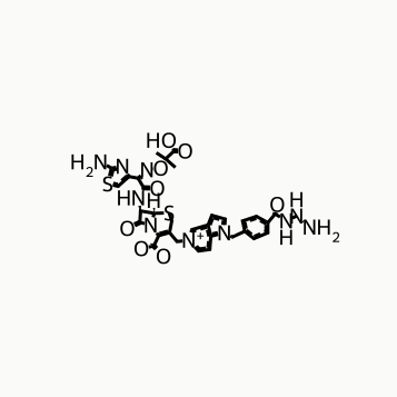 CC(C)(O/N=C(\C(=O)N[C@@H]1C(=O)N2C(C(=O)[O-])=C(C[n+]3ccc4c(ccn4Cc4ccc(C(=O)NNN)cc4)c3)CS[C@H]12)c1csc(N)n1)C(=O)O